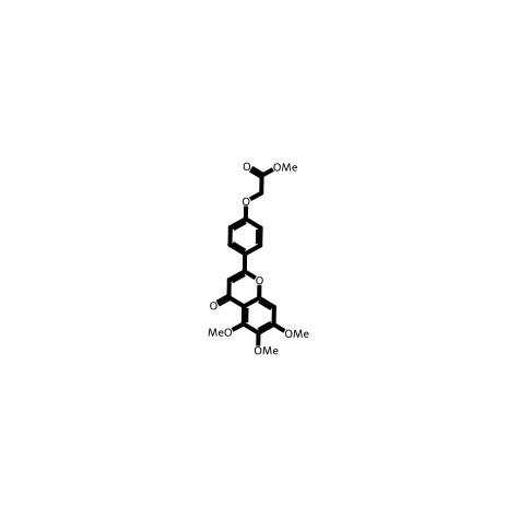 COC(=O)COc1ccc(-c2cc(=O)c3c(OC)c(OC)c(OC)cc3o2)cc1